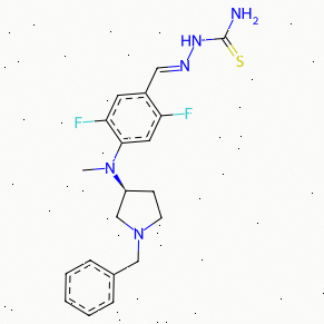 CN(c1cc(F)c(C=NNC(N)=S)cc1F)[C@H]1CCN(Cc2ccccc2)C1